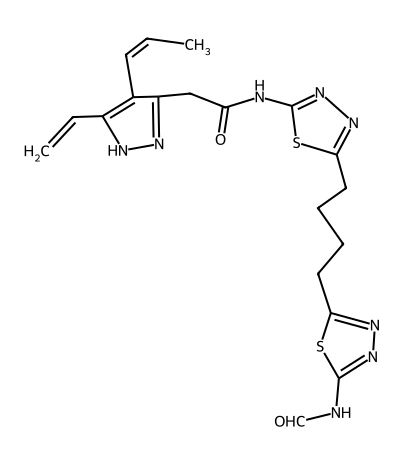 C=Cc1[nH]nc(CC(=O)Nc2nnc(CCCCc3nnc(NC=O)s3)s2)c1/C=C\C